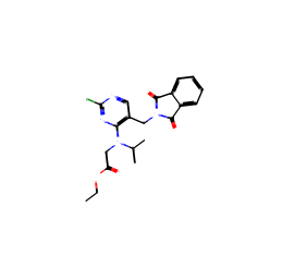 CCOC(=O)CN(c1nc(Cl)ncc1CN1C(=O)c2ccccc2C1=O)C(C)C